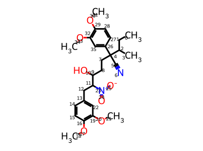 CCC(C)C(C#N)(CCC(O)C(Cc1ccc(OC)c(OC)c1)[N+](=O)[O-])c1ccc(OC)c(OC)c1